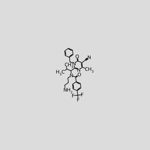 Cc1nc(C(C(C)C)N(CCCN)C(=O)c2ccc(C(F)(F)F)cc2)n(Cc2ccccc2)c(=O)c1C#N